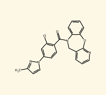 Cc1ccn(-c2ccc(C(=O)N3Cc4cccnc4Oc4ccccc43)c(Cl)c2)n1